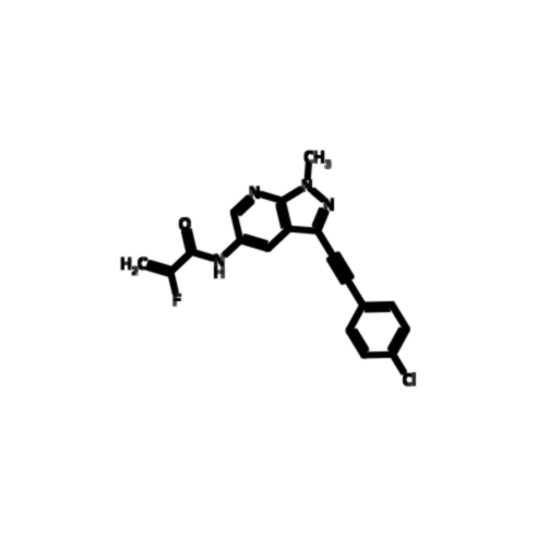 C=C(F)C(=O)Nc1cnc2c(c1)c(C#Cc1ccc(Cl)cc1)nn2C